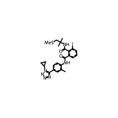 CSCC(C)(C)NC(=O)c1c(I)cccc1C(=O)Nc1ccc(-c2nnnn2C2CC2)cc1C